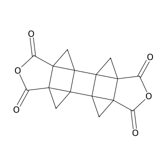 O=C1OC(=O)C23CC24C2(CC132)C12CC13C(=O)OC(=O)C31CC142